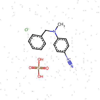 CN(Cc1ccccc1)c1ccc([N+]#N)cc1.O=S(=O)(O)O.[Cl-]